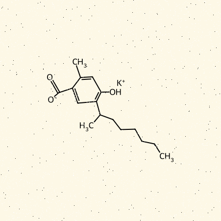 CCCCCCC(C)c1cc(C(=O)[O-])c(C)cc1O.[K+]